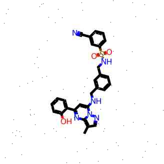 Cc1cnn2c(NCc3cccc(CNS(=O)(=O)c4cccc(C#N)c4)c3)cc(-c3ccccc3O)nc12